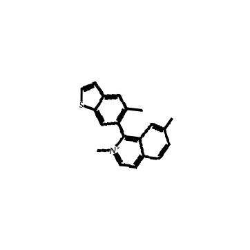 Cc1ccc2cc[n+](C)c(-c3cc4sccc4cc3C)c2c1